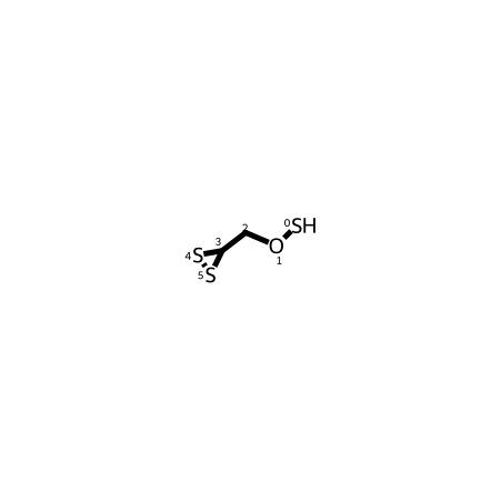 SOCC1SS1